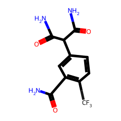 NC(=O)c1cc(C(C(N)=O)C(N)=O)ccc1C(F)(F)F